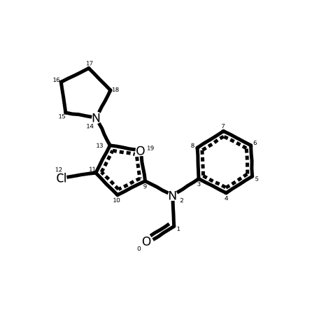 O=CN(c1ccccc1)c1cc(Cl)c(N2CCCC2)o1